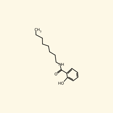 CCCCCCCCNC(=O)c1ccccc1O